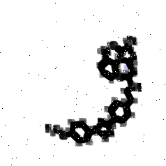 CCc1ccccc1-n1c(=O)n(CC)s/c1=N/C(=O)NCCc1ccc(-c2ncn(-c3ccc(OC(F)(F)F)cc3)n2)cc1